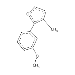 COc1cccc(-c2occc2C)c1